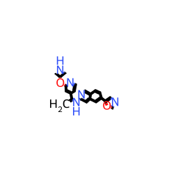 C=C(Nc1cc2cc(-c3cnco3)ccc2cn1)c1ccnc(OC2CNC2)c1